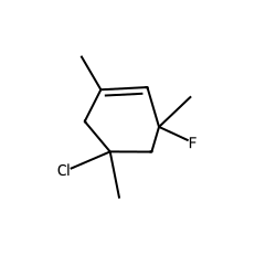 CC1=CC(C)(F)CC(C)(Cl)C1